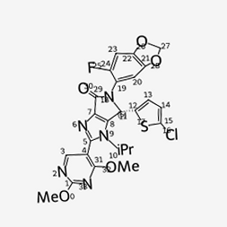 COc1ncc(-c2nc3c(n2C(C)C)[C@@H](c2ccc(Cl)s2)N(c2cc4c(cc2F)OCO4)C3=O)c(OC)n1